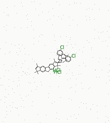 CC1=CC(C)[C]([Zr](=[CH]c2ccc(Cl)cc2)(=[CH]c2ccc(Cl)cc2)[C]2=C(C)c3cc4c(cc3C2(C)C)Cc2cc3c(cc2-4)C(C)=CC3(C)C)=C1C.Cl.Cl